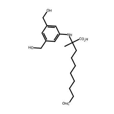 CC(CCCCCCCC=O)(Nc1cc(CO)cc(CO)c1)C(=O)O